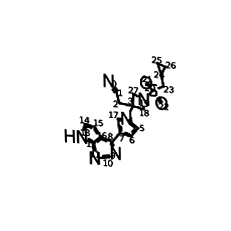 N#CCC1(n2ccc(-c3ncnc4[nH]ccc34)c2)CN(S(=O)(=O)CC2CC2)C1